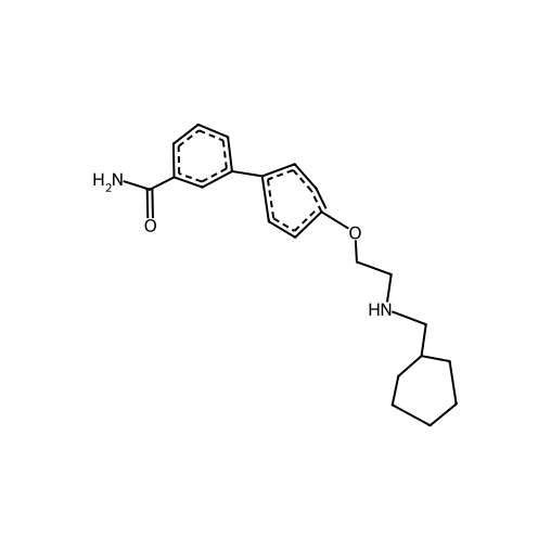 NC(=O)c1cccc(-c2ccc(OCCNCC3CCCCC3)cc2)c1